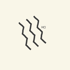 CCCCCC.CCCCCC.CCCCCC.Cl